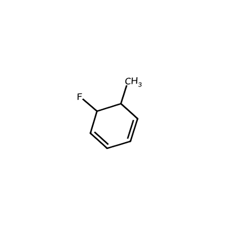 CC1C=CC=CC1F